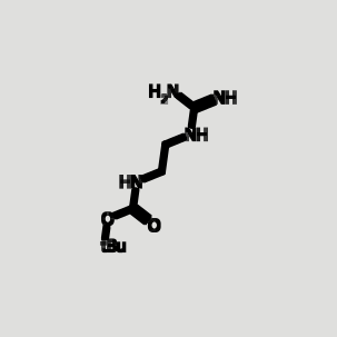 CC(C)(C)OC(=O)NCCNC(=N)N